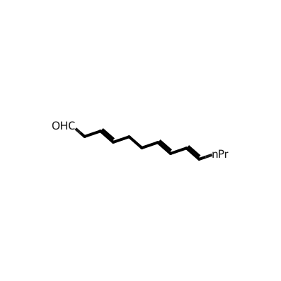 CCCC=CC=CCCC=CCC=O